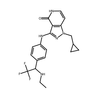 CCNC(c1ccc(Nc2nn(CC3CC3)c3cc[nH]c(=O)c23)cc1)C(F)(F)F